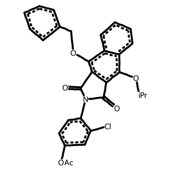 CC(=O)Oc1ccc(N2C(=O)c3c(c(OC(C)C)c4ccccc4c3OCc3ccccc3)C2=O)c(Cl)c1